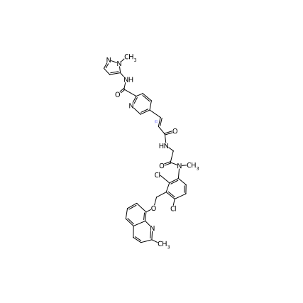 Cc1ccc2cccc(OCc3c(Cl)ccc(N(C)C(=O)CNC(=O)/C=C/c4ccc(C(=O)Nc5ccnn5C)nc4)c3Cl)c2n1